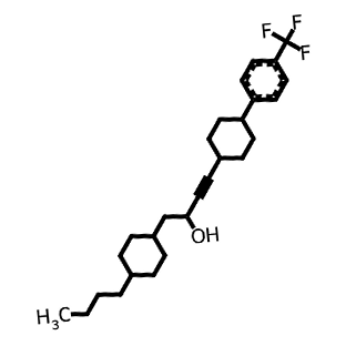 CCCCC1CCC(CC(O)C#CC2CCC(c3ccc(C(F)(F)F)cc3)CC2)CC1